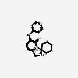 O=c1c(Nc2ccncn2)ccc2n1C1(CCCCC1)NC2